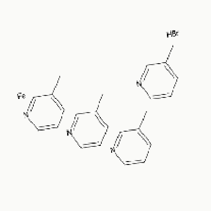 Br.Cc1cccnc1.Cc1cccnc1.Cc1cccnc1.Cc1cccnc1.[Fe]